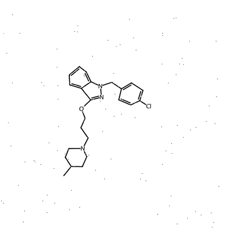 CC1CCN(CCCOc2nn(Cc3ccc(Cl)cc3)c3ccccc23)CC1